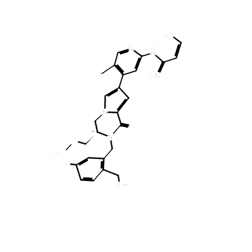 COC[C@H]1Cn2cc(-c3cc(NC(=N)/C=C\O)ncc3Cl)cc2C(=O)N1Cc1cc(F)ccc1CO